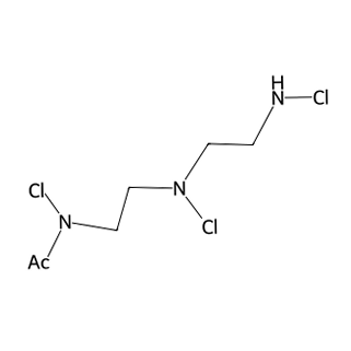 CC(=O)N(Cl)CCN(Cl)CCNCl